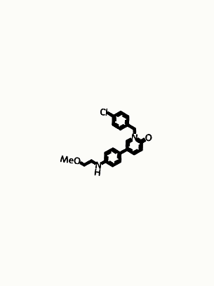 COCCNc1ccc(-c2ccc(=O)n(Cc3ccc(Cl)cc3)c2)cc1